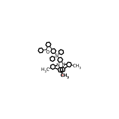 Cc1ccc2c(c1)c1cc(C)ccc1n2-c1ccc([Si](c2ccccc2)(c2ccccc2)c2ccc(-c3ccccc3C(=O)c3ccccc3)cc2)cc1-n1c2ccc(C)cc2c2cc(C)ccc21